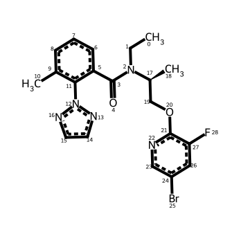 CCN(C(=O)c1cccc(C)c1-n1nccn1)[C@@H](C)COc1ncc(Br)cc1F